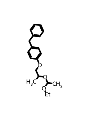 CCOC(C)OC(C)COc1ccc(Cc2ccccc2)cc1